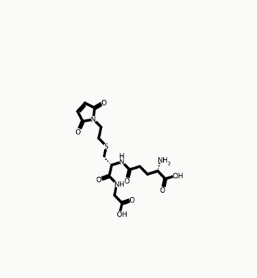 N[C@@H](CCC(=O)N[C@@H](CSCCN1C(=O)C=CC1=O)C(=O)NCC(=O)O)C(=O)O